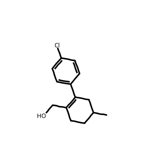 CC1CCC(CO)=C(c2ccc(Cl)cc2)C1